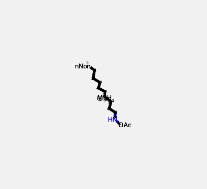 CCCCCCCCCCCCCCCCCCNOC(C)=O.[MgH2]